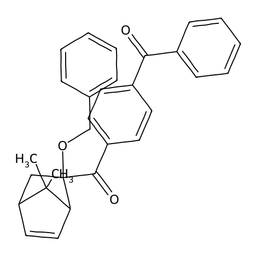 CC1(C)C2C=CC1C(OCc1ccccc1)(C(=O)c1ccc(C(=O)c3ccccc3)cc1)C2